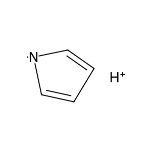 C1=C[N]C=C1.[H+]